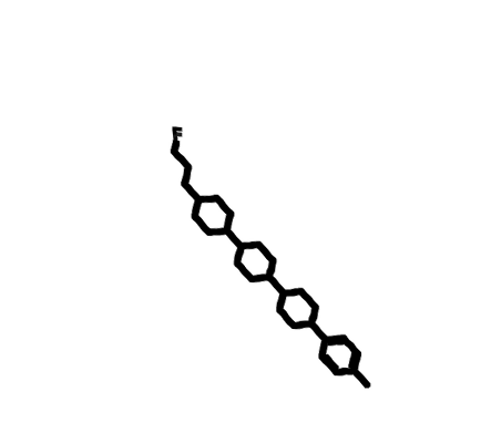 Cc1ccc(C2CCC(C3CCC(C4CCC(CCCF)CC4)CC3)CC2)cc1